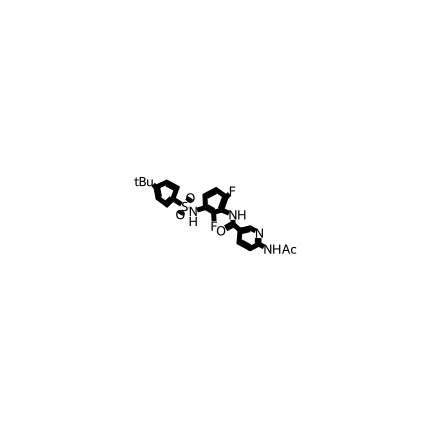 CC(=O)Nc1ccc(C(=O)Nc2c(F)ccc(NS(=O)(=O)c3ccc(C(C)(C)C)cc3)c2F)cn1